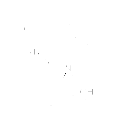 Cc1c(Cl)nnc2c1CSCCN2[C@@H]1CCCC[C@H]1O